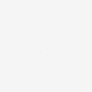 BrCCc1ccc(-c2[c]cccc2)cc1